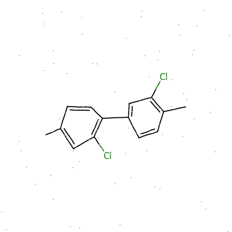 Cc1ccc(-c2ccc(C)c(Cl)c2)c(Cl)c1